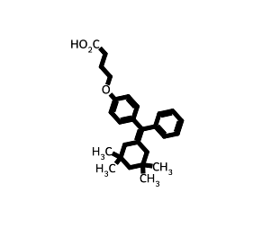 CC1(C)CC(=C(c2ccccc2)c2ccc(OCCCC(=O)O)cc2)CC(C)(C)C1